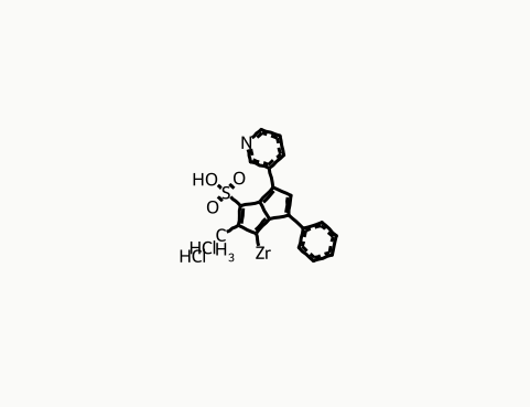 CC1=C(S(=O)(=O)O)C2=C(c3cccnc3)C=C(c3ccccc3)C2=[C]1[Zr].Cl.Cl